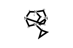 C1CC1[N+]12CN3CN(CN(C3)C1)C2